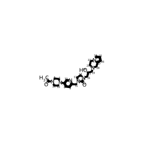 CC(=O)N1CCN(c2ccc(CN3CCN(CC(O)CN4CCn5cccc5C4)C3=O)nc2)CC1